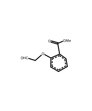 COC(=O)c1ccccc1OCC=O